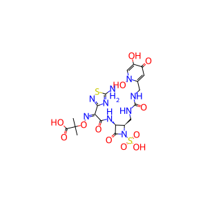 CC(C)(O/N=C(\C(=O)N[C@@H]1C(=O)N(S(=O)(=O)O)[C@@H]1CNC(=O)NCc1cc(=O)c(O)cn1O)c1nsc(N)n1)C(=O)O